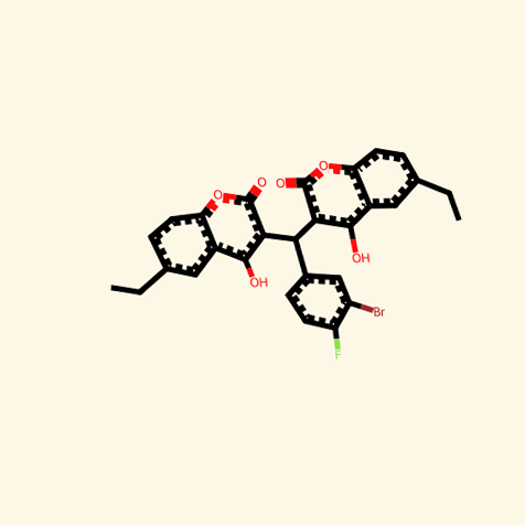 CCc1ccc2oc(=O)c(C(c3ccc(F)c(Br)c3)c3c(O)c4cc(CC)ccc4oc3=O)c(O)c2c1